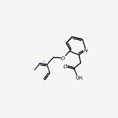 C=C/C(=C\C)COc1cccnc1CC(=O)O